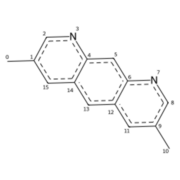 Cc1cnc2cc3ncc(C)cc3cc2c1